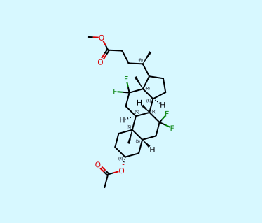 COC(=O)CC[C@@H](C)C1CC[C@H]2[C@H]3[C@H](CC(F)(F)[C@]12C)[C@@]1(C)CC[C@@H](OC(C)=O)C[C@H]1CC3(F)F